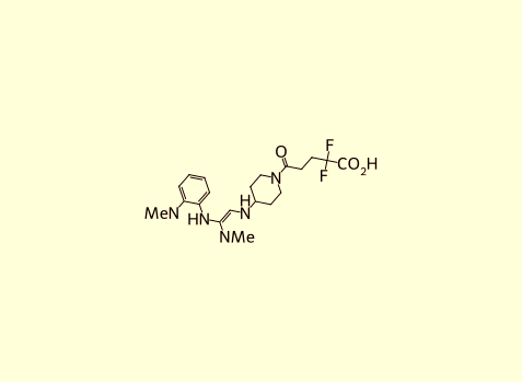 CN/C(=C\NC1CCN(C(=O)CCC(F)(F)C(=O)O)CC1)Nc1ccccc1NC